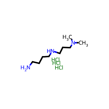 CN(C)CCCNCCCCN.Cl.Cl.Cl